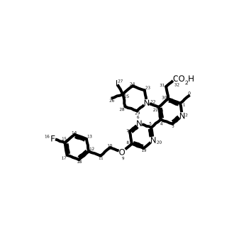 Cc1ncc(-c2ncc(OCCc3ccc(F)cc3)cn2)c(N2CCC(C)(I)CC2)c1CC(=O)O